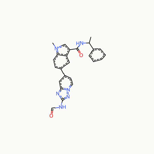 CC(NC(=O)c1cn(C)c2ccc(-c3ccn4nc(NC=O)nc4c3)cc12)c1ccccc1